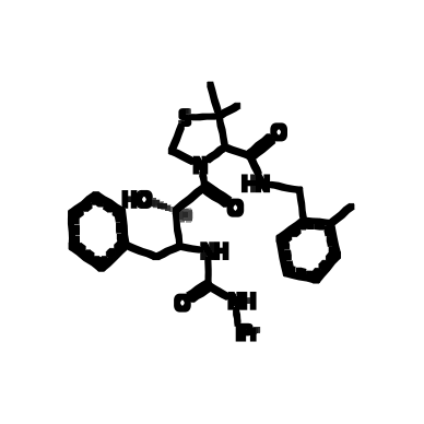 Cc1ccccc1CNC(=O)C1N(C(=O)[C@@H](O)C(Cc2ccccc2)NC(=O)NC(C)C)CSC1(C)C